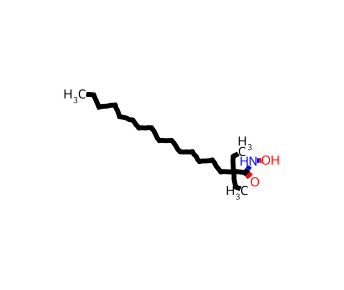 CCCCCCCCCCCCCCCC(CC)(CC)C(=O)NO